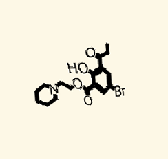 CCC(=O)c1cc(Br)cc(C(=O)OCCN2CCCCC2)c1O